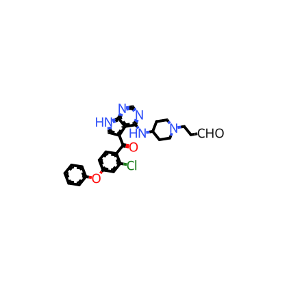 O=CCCN1CCC(Nc2ncnc3[nH]cc(C(=O)c4ccc(Oc5ccccc5)cc4Cl)c23)CC1